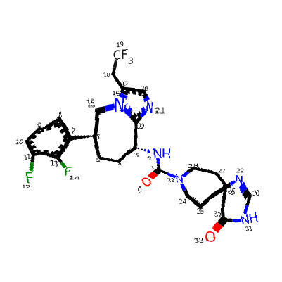 O=C(N[C@@H]1CC[C@@H](c2cccc(F)c2F)Cn2c(CC(F)(F)F)cnc21)N1CCC2(CC1)N=CNC2=O